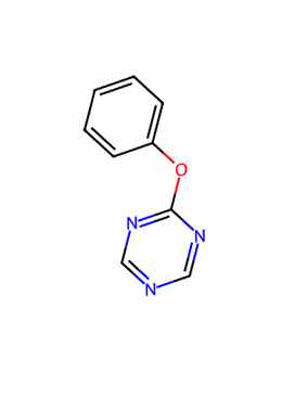 c1ccc(Oc2ncncn2)cc1